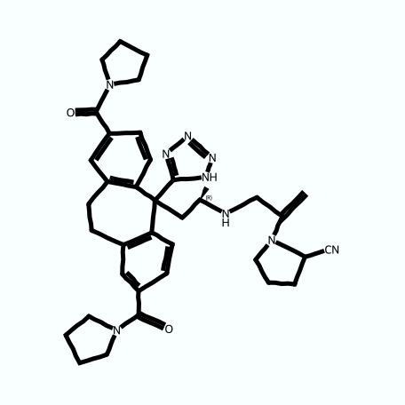 C=C(CN[C@H](C)CC1(c2nnn[nH]2)c2ccc(C(=O)N3CCCC3)cc2CCc2cc(C(=O)N3CCCC3)ccc21)N1CCCC1C#N